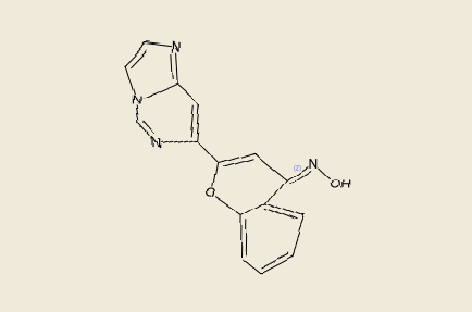 O/N=c1/cc(-c2cc3nccn3cn2)oc2ccccc12